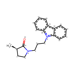 C[C@@H]1CCN(CCCn2c3ccccc3c3ccccc32)C1=O